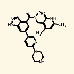 Cc1cc(C)c(CN(C(=O)c2cc(-c3ccc(N4CCNCC4)nc3)cc3[nH]ncc23)C(C)C)c(=O)[nH]1